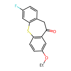 CCOc1ccc2c(c1)C(=O)Cc1ccc(F)cc1S2